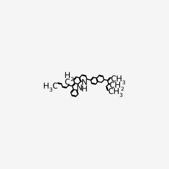 C=C(/C=C\C)/C(=C\C)C1C=Cc2cc(C3C=Cc4ccc5c(C(=C)/C=C\C=C/C)c6ccccc6nc5c4N3)ccc2C1